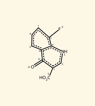 O=C(O)c1c[nH]c2c(F)cccc2c1=O